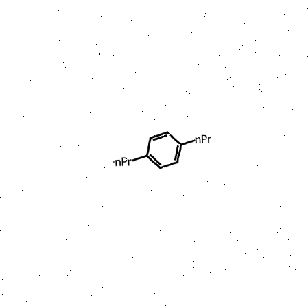 CC[CH]c1ccc(CCC)cc1